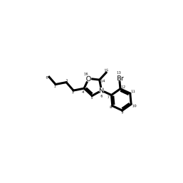 CCCCC1=CN(c2ccccc2Br)C(C)O1